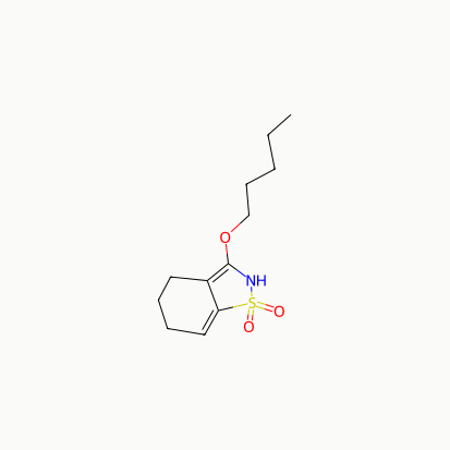 CCCCCOC1=C2CCCC=C2S(=O)(=O)N1